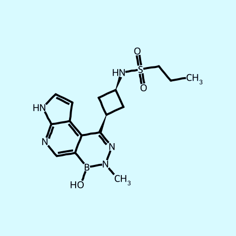 CCCS(=O)(=O)N[C@H]1C[C@@H](C2=NN(C)B(O)c3cnc4[nH]ccc4c32)C1